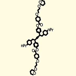 CCCC1CCC(CC(C#CC(CC2CCC(CCC)CC2)c2ccc(OC(=O)C3CCC(OCCCOC4CCCCO4)CC3)cc2)c2ccc(OC(=O)C3CCC(OCCCOC4CCCCO4)CC3)cc2)CC1